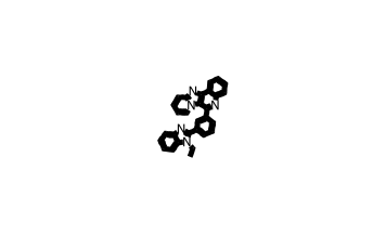 CCn1c(-c2cccc(-c3nc4ccccc4c4nc5ccccn5c34)c2)nc2ccccc21